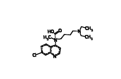 CCN(CC)CCCC[N+](C)(C(=O)O)c1ccnc2cc(Cl)ccc12